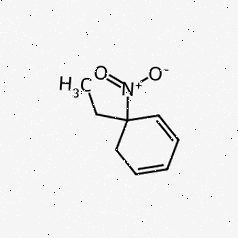 CCC1([N+](=O)[O-])C=CC=CC1